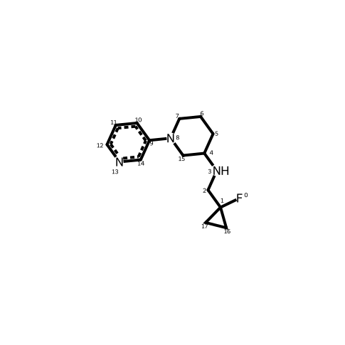 FC1(CNC2CCCN(c3cccnc3)C2)CC1